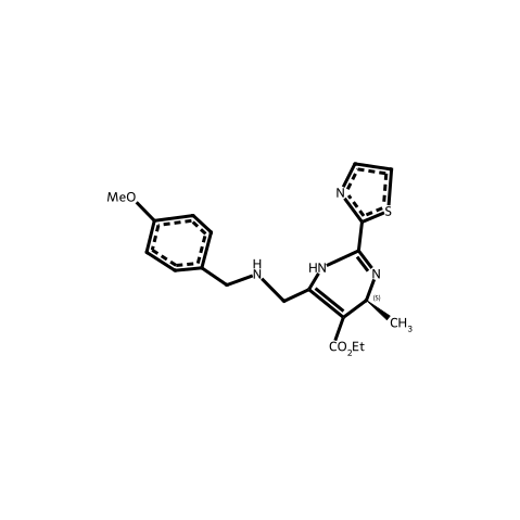 CCOC(=O)C1=C(CNCc2ccc(OC)cc2)NC(c2nccs2)=N[C@H]1C